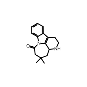 CC1(C)CC(=O)n2c3c(c4ccccc42)CCNC3C1